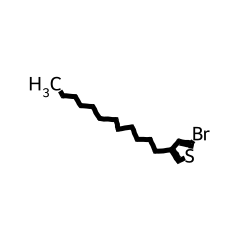 CCCCCCCCCCCCc1csc(Br)c1